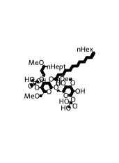 CCCCCC/C=C\CCCCCCCCCC(=O)O[C@H]1[C@H](OC[C@H]2O[C@H](OP(=O)(O)O)[C@H](O)[C@@H](OCCCCCCCCCC)[C@@H]2O)O[C@H](COC)[C@@H](OP(=O)(O)O)[C@@H]1OCC[C@H](CCCCCCC)OC